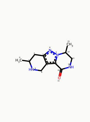 CC1Cc2nn3c(c2CN1)C(=O)NCC3C